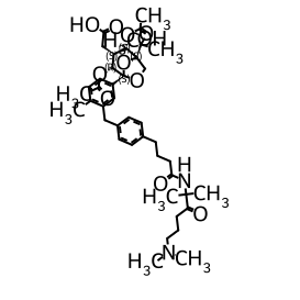 CC(=O)O[C@@H]1[C@@H](CC(=O)O)[C@H](OC(C)=O)[C@]2(C(C)(C)O)CO[C@@]1(c1ccc(C)c(Cc3ccc(CCCC(=O)NC(C)(C)C(=O)CCCN(C)C)cc3)c1)O2